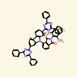 Cc1cc(C)c(N2C(=O)c3cccc(-n4c5cc(-c6nc(-c7ccccc7)nc(-c7ccccc7)n6)ccc5c5ccc(-c6nc(-c7ccccc7)nc(-c7ccccc7)n6)cc54)c3C2=O)c(C)c1